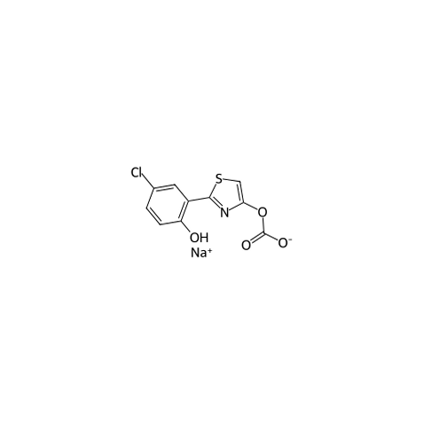 O=C([O-])Oc1csc(-c2cc(Cl)ccc2O)n1.[Na+]